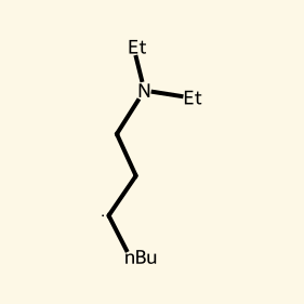 CCCC[CH]CCN(CC)CC